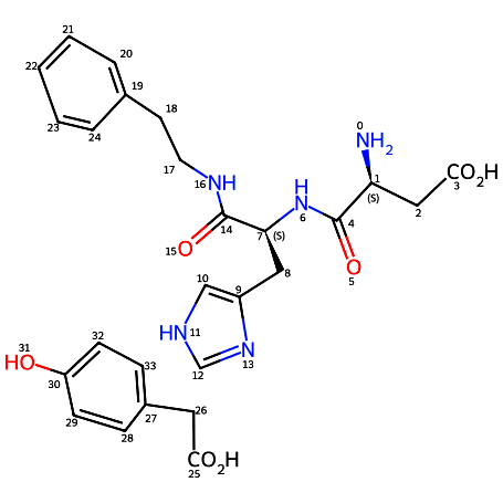 N[C@@H](CC(=O)O)C(=O)N[C@@H](Cc1c[nH]cn1)C(=O)NCCc1ccccc1.O=C(O)Cc1ccc(O)cc1